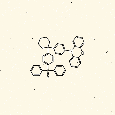 S=P(c1ccccc1)(c1ccccc1)c1ccc(C2(c3ccc(N4c5ccccc5Oc5ccccc54)cc3)CCCCC2)cc1